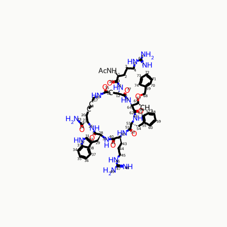 CC(=O)N[C@@H](CCCNC(=N)N)C(=O)N[C@H]1CC(=O)NCCCC[C@@H](C(N)=O)NC(=O)[C@H](Cc2c[nH]c3ccccc23)NC(=O)[C@H](CCCNC(=N)N)NC(=O)[C@@H](Cc2ccccc2)NC(=O)[C@@H]([C@@H](C)OCc2ccccc2)NC1=O